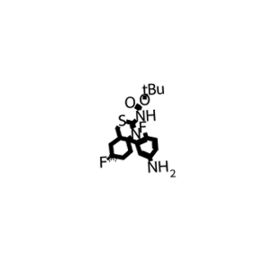 CC(C)(C)OC(=O)NC1=NC2(c3cc(N)ccc3F)CC[C@@H](F)CC2CS1